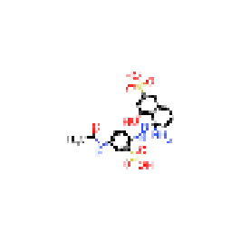 CC(=O)Nc1ccc(/N=N/C2(N)C=CC=C3CC(S(=O)(=O)O)=CC(O)=C32)c(S(=O)(=O)O)c1